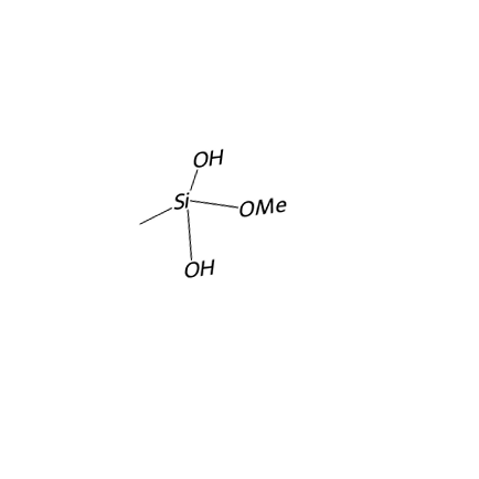 CO[Si](C)(O)O